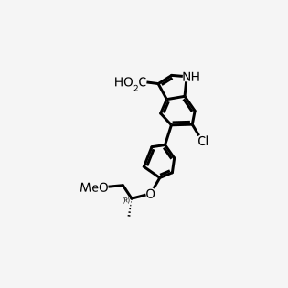 COC[C@@H](C)Oc1ccc(-c2cc3c(C(=O)O)c[nH]c3cc2Cl)cc1